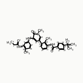 CCC(=O)Nc1cc(Nc2cc(-c3cccc(NC(=O)c4ccc(C(C)(C)C)cc4)c3C)cn(C)c2=O)ccc1C